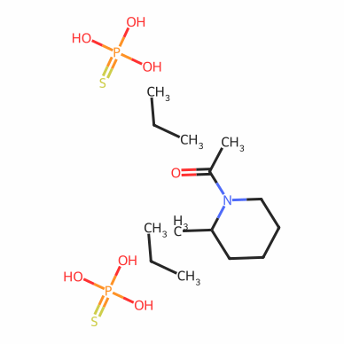 CC(=O)N1CCCCC1C.CCC.CCC.OP(O)(O)=S.OP(O)(O)=S